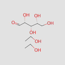 CCO.CCO.O=C[C@H](O)[C@@H](O)[C@H](O)CO